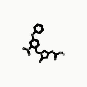 CC(=O)SC1CC(=O)N(Cc2ccc(Oc3ccccc3)cc2[N+](=O)[O-])C1